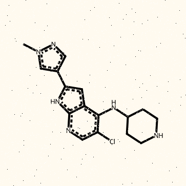 Cn1cc(-c2cc3c(NC4CCNCC4)c(Cl)cnc3[nH]2)cn1